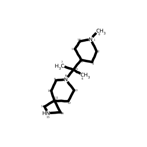 CN1CCC(C(C)(C)N2CCC3(CC2)CNC3)CC1